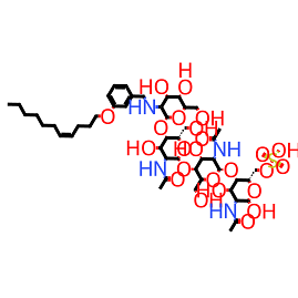 CCCCCC/C=C\CCCOc1cccc(CNC2[C@H](O[C@H]3C(O)C(NC(C)=O)[C@H](O[C@@H]4C(CO)O[C@@H](O[C@H]5C(O)C(NC(C)=O)C(O)O[C@H]5COS(=O)(=O)O)C(NC(C)=O)[C@H]4O)O[C@H]3CO)OC(CO)[C@@H](O)[C@@H]2O)c1